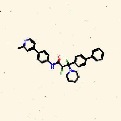 Cc1cc(-c2ccc(NC(=O)C(F)C(F)(c3ccc(-c4ccccc4)cc3)N3CCCCC3)cc2)ccn1